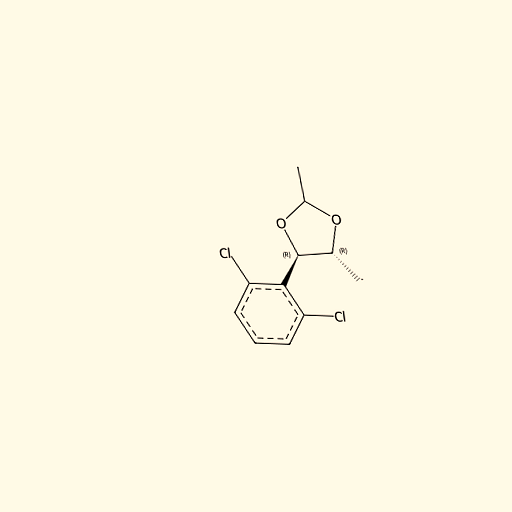 [CH2][C@H]1OC(C)O[C@@H]1c1c(Cl)cccc1Cl